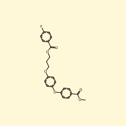 COC(=O)c1ccc(Oc2ccc(OCCCOC(=O)c3ccc(F)cc3)cc2)cc1